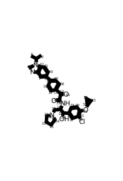 CC(C)n1cnc2cc(-c3ccc(C(=O)C(=O)NC(CN4CCCC4)C(O)c4ccc(OC5CC5)c(Cl)c4)cc3)ccc21